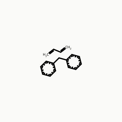 C=CC=C.c1ccc(Cc2ccccc2)cc1